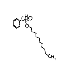 CCCCCCCCCCCO[PH](=O)Oc1ccccc1